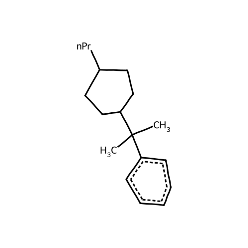 CCCC1CCC(C(C)(C)c2ccccc2)CC1